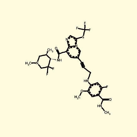 CNC(=O)c1cc(OC)c(NCC#Cc2cc(C(=O)N[C@H]3[C@H](C)CN(C)CC3(F)F)c3ncc(SC(F)(F)F)n3c2)cc1F